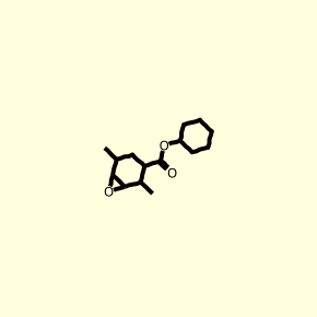 CC1CC(C(=O)OC2CCCCC2)C(C)C2OC12